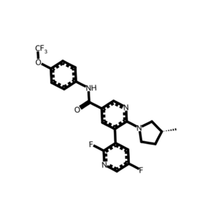 C[C@@H]1CCN(c2ncc(C(=O)Nc3ccc(OC(F)(F)F)cc3)cc2-c2cc(F)cnc2F)C1